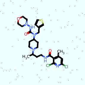 Cc1cc(Cl)nc(Cl)c1C(=O)NCCC(C)N1CCC(N(Cc2ccsc2)C(=O)NN2CCOCC2)CC1